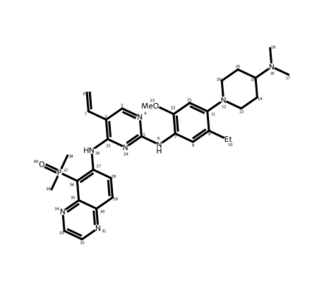 C=Cc1cnc(Nc2cc(CC)c(N3CCC(N(C)C)CC3)cc2OC)nc1Nc1ccc2nccnc2c1P(C)(C)=O